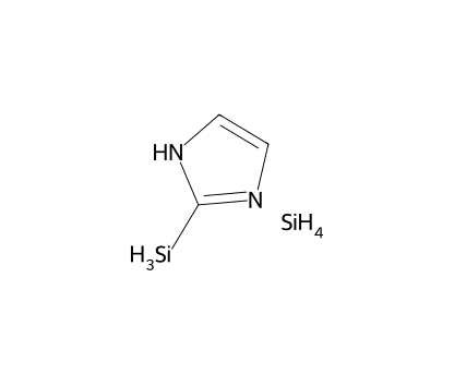 [SiH3]c1ncc[nH]1.[SiH4]